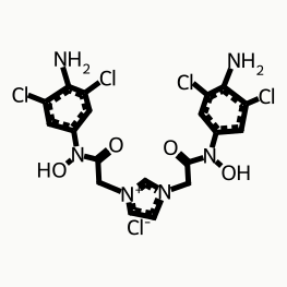 Nc1c(Cl)cc(N(O)C(=O)Cn2cc[n+](CC(=O)N(O)c3cc(Cl)c(N)c(Cl)c3)c2)cc1Cl.[Cl-]